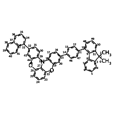 CC1(C)c2ccccc2-c2c(-c3ccc(-c4ccc5c(c4)Oc4cccc6c4N5c4ccc(-c5cccc7ccccc57)cc4O6)cc3)cccc21